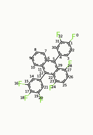 Fc1ccc(-c2c3ccccc3c(-c3cc(F)c(F)c(F)c3)c3c(F)ccc(F)c23)cc1F